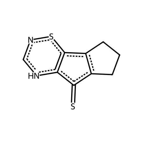 S=c1c2c(c3snc[nH]c1=3)CCC2